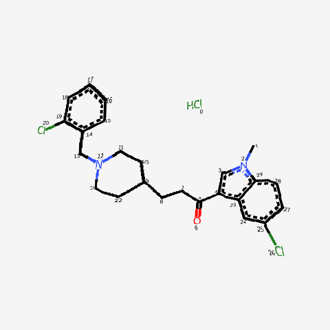 Cl.Cn1cc(C(=O)CCC2CCN(Cc3ccccc3Cl)CC2)c2cc(Cl)ccc21